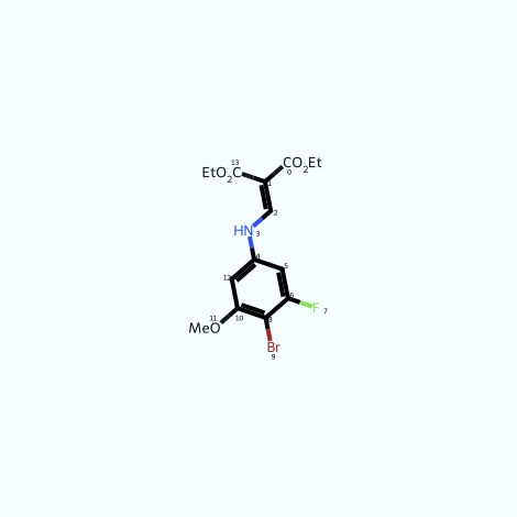 CCOC(=O)C(=CNc1cc(F)c(Br)c(OC)c1)C(=O)OCC